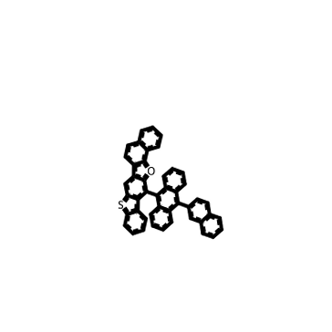 c1ccc2cc(-c3c4ccccc4c(-c4c5oc6c7ccccc7ccc6c5cc5sc6ccccc6c45)c4ccccc34)ccc2c1